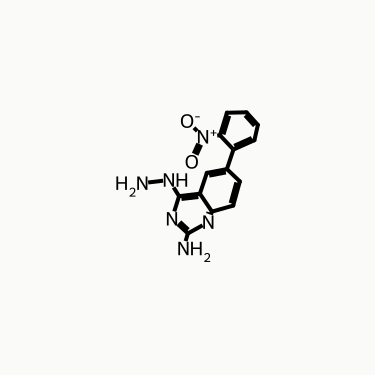 NNc1nc(N)nc2ccc(-c3ccccc3[N+](=O)[O-])cc12